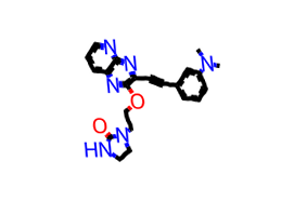 CN(C)c1cccc(C#Cc2nc3ncccc3nc2OCCN2CCNC2=O)c1